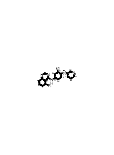 Fc1cccc2ncnc(Nc3ccc(Oc4cccnc4)c(Cl)c3)c12